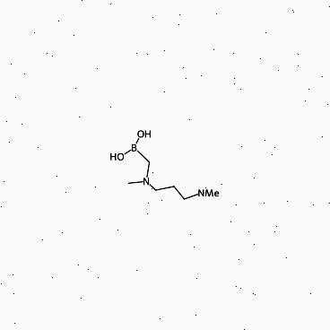 CNCCCN(C)CB(O)O